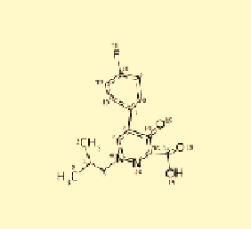 CC(C)Cn1cc(-c2ccc(F)cc2)c(=O)c(C(=O)O)n1